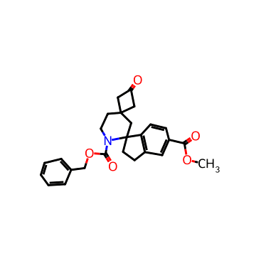 COC(=O)c1ccc2c(c1)CCC21CC2(CCN1C(=O)OCc1ccccc1)CC(=O)C2